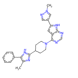 Cc1nc(C2CCN(c3ncnc4[nH]c(-c5cnn(C)c5)cc34)CC2)[nH]c1-c1ccccc1